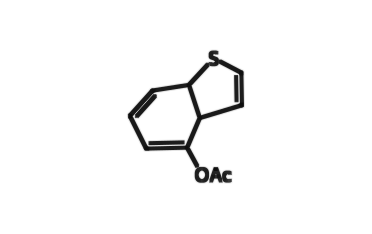 CC(=O)OC1=CC=CC2SC=CC12